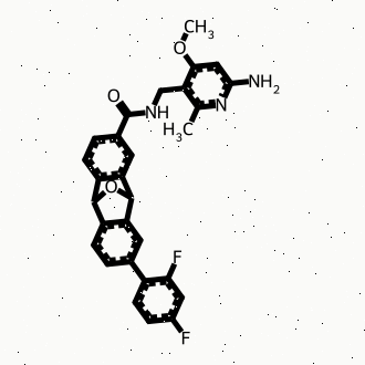 COc1cc(N)nc(C)c1CNC(=O)c1ccc2c(c1)C1OC2c2ccc(-c3ccc(F)cc3F)cc21